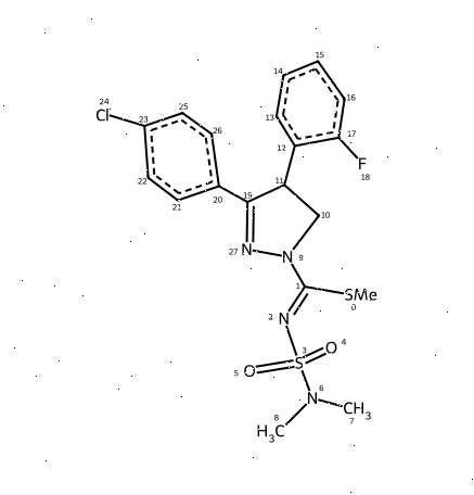 CS/C(=N\S(=O)(=O)N(C)C)N1CC(c2ccccc2F)C(c2ccc(Cl)cc2)=N1